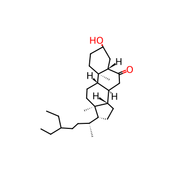 CCC(CC)CC[C@@H](C)[C@H]1CC[C@H]2[C@@H]3CC(=O)[C@H]4C[C@H](O)CC[C@]4(C)[C@H]3CC[C@]12C